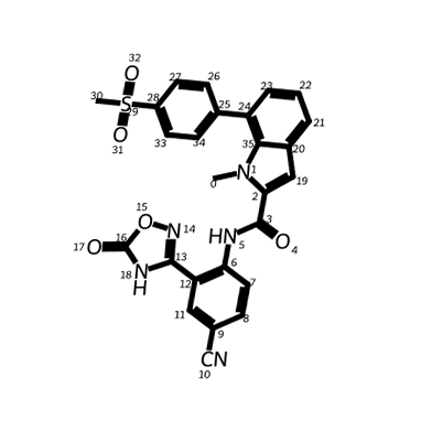 Cn1c(C(=O)Nc2ccc(C#N)cc2-c2noc(=O)[nH]2)cc2cccc(-c3ccc(S(C)(=O)=O)cc3)c21